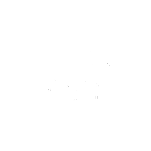 Cc1nc(-c2cncc(I)c2)sc1C(=O)NCc1ncccn1